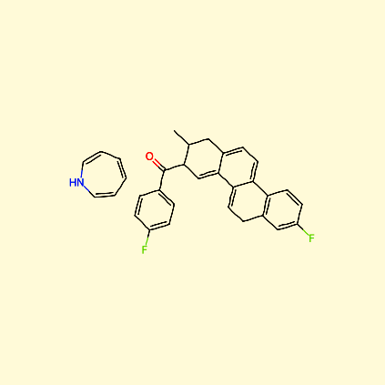 C1=CC=CNC=C1.CC1Cc2ccc3c(c2=CC1C(=O)c1ccc(F)cc1)=CCc1cc(F)ccc1-3